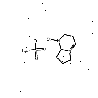 CCN1CCC=[N+]2CCCC12.O=S(=O)([O-])C(F)(F)F